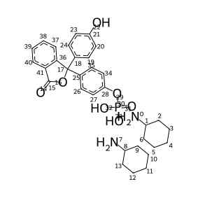 NC1CCCCC1.NC1CCCCC1.O=C1OC(c2ccc(O)cc2)(c2ccc(OP(=O)(O)O)cc2)c2ccccc21